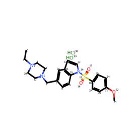 CCN1CCN(Cc2ccc3c(ccn3S(=O)(=O)c3ccc(OC)cc3)c2)CC1.Cl.Cl